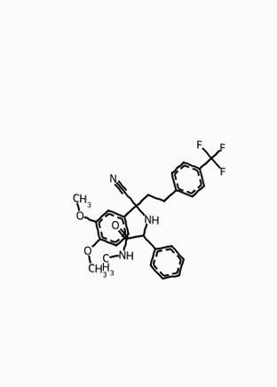 CNC(=O)C(NC(C#N)(CCc1ccc(C(F)(F)F)cc1)c1ccc(OC)c(OC)c1)c1ccccc1